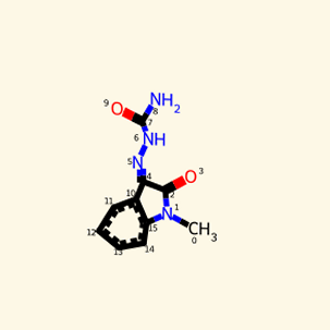 CN1C(=O)C(=NNC(N)=O)c2ccccc21